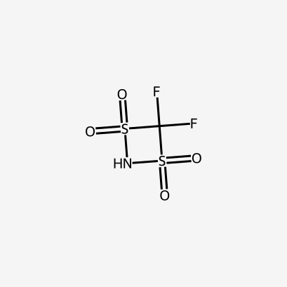 O=S1(=O)NS(=O)(=O)C1(F)F